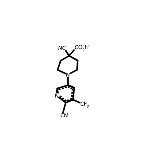 N#Cc1ncc(N2CCC(C#N)(C(=O)O)CC2)cc1C(F)(F)F